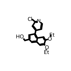 CCOc1cc2cc(CO)cc(-c3ccnc(Cl)c3)c2cc1OCC